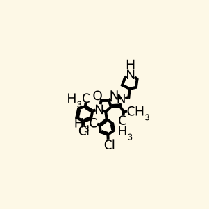 Cc1cc(Cl)ccc1C1c2c(nn(CC3CCNCC3)c2C(C)C)C(=O)N1c1cc(Cl)ccc1C